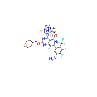 Cc1c(F)c(N)cc(-c2nc3c4c(nc(OCC5CCOCC5)nc4c2F)N2C[C@H]4CC[C@H](N4)[C@H]2[C@H](C)O3)c1C(F)(F)F